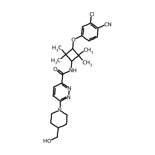 CC1(C)C(NC(=O)c2ccc(N3CCC(CO)CC3)nn2)C(C)(C)C1Oc1ccc(C#N)c(Cl)c1